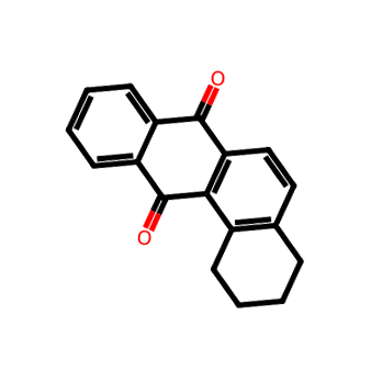 O=C1c2ccccc2C(=O)c2c1ccc1c2CCCC1